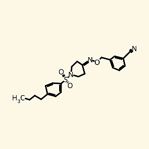 CCCCc1ccc(S(=O)(=O)N2CCC(=NOCc3cccc(C#N)c3)CC2)cc1